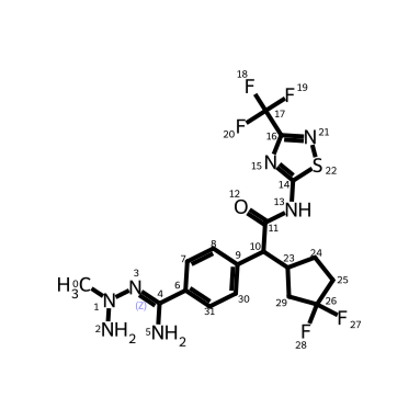 CN(N)/N=C(\N)c1ccc(C(C(=O)Nc2nc(C(F)(F)F)ns2)C2CCC(F)(F)C2)cc1